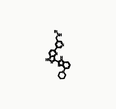 CCNCc1cncc(-c2ccc3[nH]nc(-c4nc5c(N6CCCCC6)cccc5[nH]4)c3n2)c1